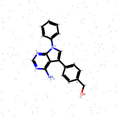 Nc1ncnc2c1c(-c1ccc(CO)cc1)cn2-c1ccccc1